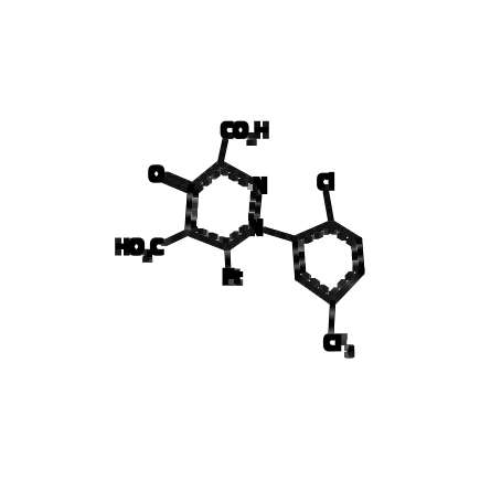 CCc1c(C(=O)O)c(=O)c(C(=O)O)nn1-c1cc(C(F)(F)F)ccc1Cl